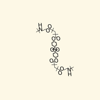 CC(C)(C)NCCOC(=O)C(C)(C)CC(C)(C)C(=O)Oc1ccc(S(=O)(=O)c2ccc(OC(=O)C(C)(C)CC(C)(C)C(=O)OCCNC(C)(C)C)cc2)cc1